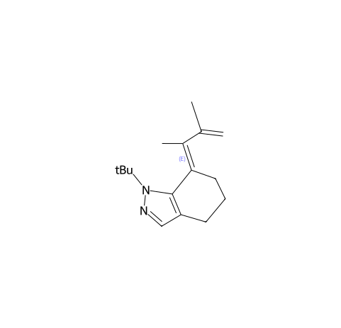 C=C(C)/C(C)=C1\CCCc2cnn(C(C)(C)C)c21